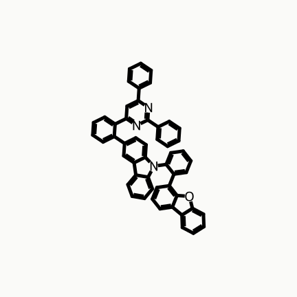 c1ccc(-c2cc(-c3ccccc3-c3ccc4c(c3)c3ccccc3n4-c3ccccc3-c3cccc4c3oc3ccccc34)nc(-c3ccccc3)n2)cc1